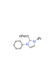 CCCCCC1N(c2ccccc2)C=CN1C(C)C